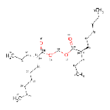 CCCCCC[C@@H](CCC)C(=O)OCOC(=O)[C@@H](CCC)CCCCCC